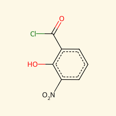 O=C(Cl)c1cccc([N+](=O)[O-])c1O